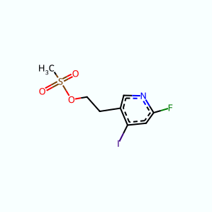 CS(=O)(=O)OCCc1cnc(F)cc1I